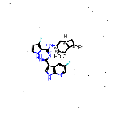 CC[C@@H]1C[C@@H]2C[C@H](N/C(=N/C(=N)c3c[nH]c4ncc(F)cc34)c3[nH]ccc3F)[C@@H](C(=O)O)CC12